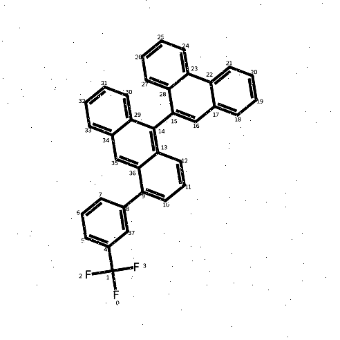 FC(F)(F)c1cccc(-c2cccc3c(-c4cc5ccccc5c5ccccc45)c4ccccc4cc23)c1